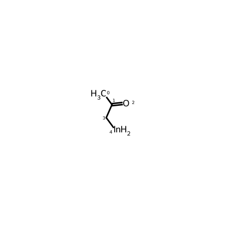 CC(=O)[CH2][InH2]